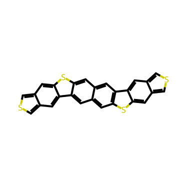 c1scc2cc3c(cc12)sc1cc2cc4c(cc2cc13)sc1cc2cscc2cc14